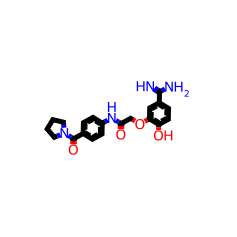 N=C(N)c1ccc(O)c(OCC(=O)Nc2ccc(C(=O)N3CCCC3)cc2)c1